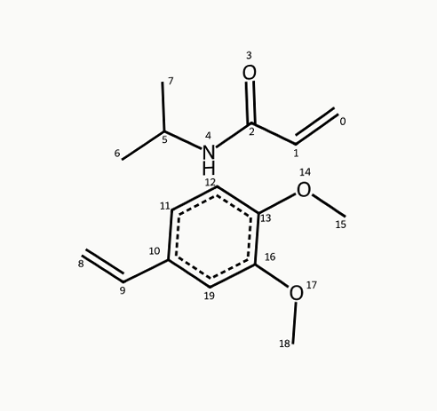 C=CC(=O)NC(C)C.C=Cc1ccc(OC)c(OC)c1